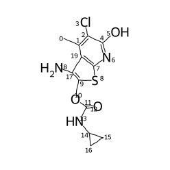 Cc1c(Cl)c(O)nc2sc(OC(=O)NC3CC3)c(N)c12